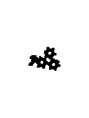 C[S+]([O-])c1ccc(-c2cccnc2-c2cccnc2)cc1